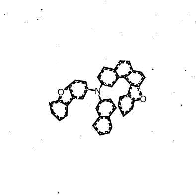 c1ccc2cc(N(c3ccc4oc5ccccc5c4c3)c3ccc4ccc5ccc6oc7ccccc7c6c5c4c3)ccc2c1